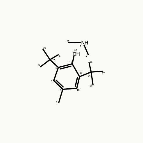 CNC.Cc1cc(C(C)(C)C)c(O)c(C(C)(C)C)c1